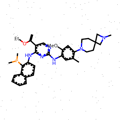 C=C(OCC)c1cnc(Nc2cc(C)c(N3CCC4(CC3)CN(C)C4)cc2OC)nc1Nc1ccc2ccccc2c1P(C)C